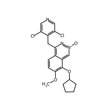 COc1ccc2c(Cc3c(Cl)cncc3Cl)n[n+]([O-])cc2c1OC1CCCC1